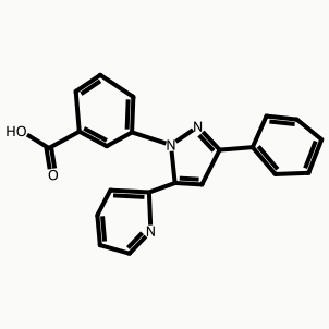 O=C(O)c1cccc(-n2nc(-c3ccccc3)cc2-c2ccccn2)c1